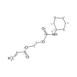 C=CC(=O)OCCOC(=O)NC1CCCCC1